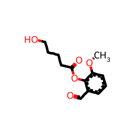 COc1cccc(C=O)c1OC(=O)CCCCO